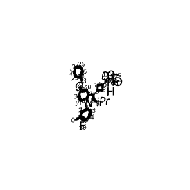 Cc1cc(-n2c(C(C)C)c([C@H]3C[C@H](C(=O)NS(C)(=O)=O)C3)c3cc(OCc4ccccc4)ccc32)ccc1F